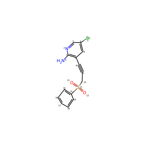 Nc1ncc(Br)cc1C#CCS(=O)(=O)c1ccccc1